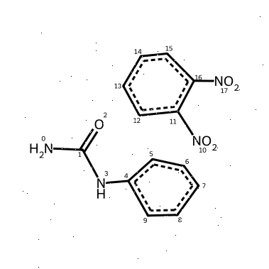 NC(=O)Nc1ccccc1.O=[N+]([O-])c1ccccc1[N+](=O)[O-]